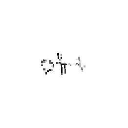 Cc1cccc(C(=O)NCCNC(C)C)c1